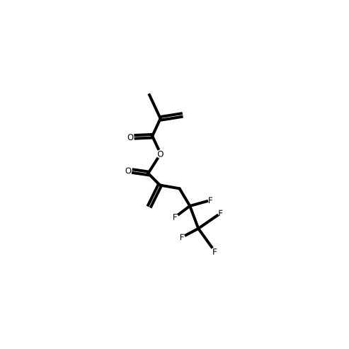 C=C(C)C(=O)OC(=O)C(=C)CC(F)(F)C(F)(F)F